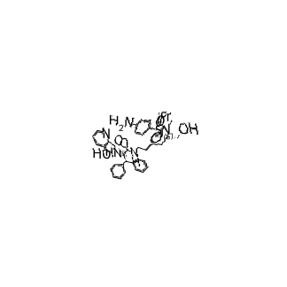 CC(C)CN([C@H](CO)CCCCNC(=O)[C@@H](NC(=O)c1ncccc1O)C(c1ccccc1)c1ccccc1)S(=O)(=O)c1ccc(N)cc1